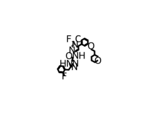 O=C(Nc1cc(-c2cc(OCCC3CCCOC3)ccc2C(F)(F)F)ncn1)c1nnc(Cc2ccccc2F)[nH]1